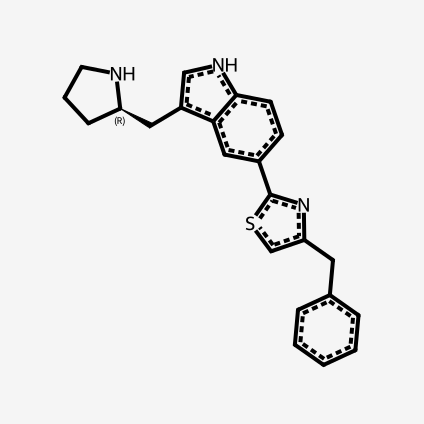 c1ccc(Cc2csc(-c3ccc4[nH]cc(C[C@H]5CCCN5)c4c3)n2)cc1